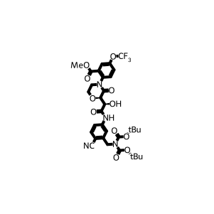 COC(=O)c1cc(OC(F)(F)F)ccc1N1CCO[C@H]([C@@H](O)C(=O)Nc2ccc(C#N)c(CN(C(=O)OC(C)(C)C)C(=O)OC(C)(C)C)c2)C1=O